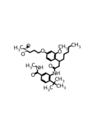 CCCCCC(CC(=O)Nc1cc(C(=O)NC)ccc1C(C)(C)C)c1ccc(OCCCS(C)(=O)=O)cc1OC